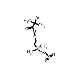 CC(C)(Br)C(=O)OCCC[Si](C)(C)OSS(=O)#P